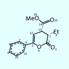 CC[C@@H]1C(=O)OC(c2ccccc2)=C[C@@H]1C(=O)OC